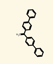 C=C(c1ccc(-c2ccccc2)cc1)c1ccc(-c2ccccc2)cc1